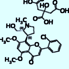 COc1cc(OC)c2c(=O)cc(-c3ccccc3Cl)oc2c1[C@@H]1CCN(C)[C@H]1CO.O=C(O)CC(O)(CC(=O)O)C(=O)O